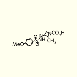 COc1ccc(S(=O)(=O)N/N=C2/CN(C(=O)O)C2C)cc1